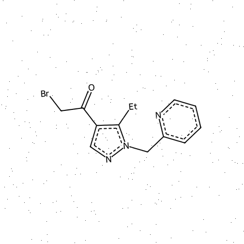 CCc1c(C(=O)CBr)cnn1Cc1ccccn1